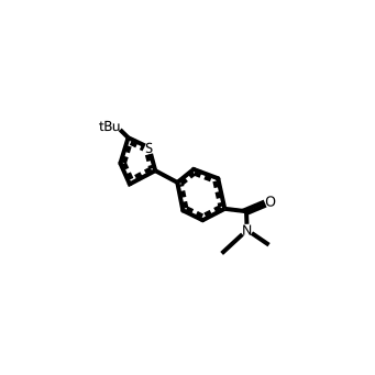 CN(C)C(=O)c1ccc(-c2ccc(C(C)(C)C)s2)cc1